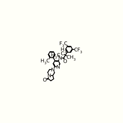 Cc1ccccc1-c1cc(N2CCN3C(=O)CCC3C2)ncc1N(C)C(=O)C(C)(C)c1cc(C(F)(F)F)cc(C(F)(F)F)c1